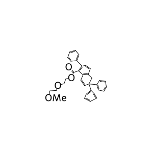 COCCOCCOC(=O)c1c(-c2ccccc2)ccc2c1C=CC(c1ccccc1)(c1ccccc1)C2